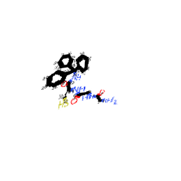 NCC(=O)NCC(=O)N[C@H](CS)C(=O)NC(c1ccccc1)(c1ccccc1)c1ccccc1